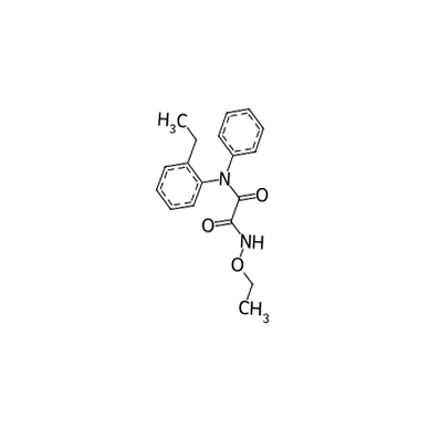 CCONC(=O)C(=O)N(c1ccccc1)c1ccccc1CC